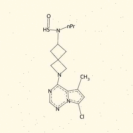 CCCN([SH]=O)C1CC2(C1)CN(c1ncnn3c(Cl)cc(C)c13)C2